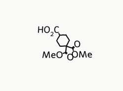 COC(=O)C1(C(=O)OC)CCC(C(=O)O)CC1